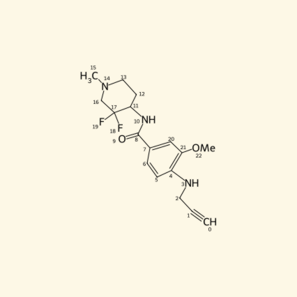 C#CCNc1ccc(C(=O)NC2CCN(C)CC2(F)F)cc1OC